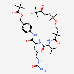 CC(C)C(NC(=O)C(C)(C)CCOC(C)(C)CCC(=O)C(C)(C)C)C(=O)N[C@H](CCCNC(N)=O)C(=O)Nc1ccc(COC(=O)C(C)(C)C)cc1